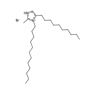 CCCCCCCCCCCC[n+]1c(CCCCCCCCCC)c[nH]c1C.[Br-]